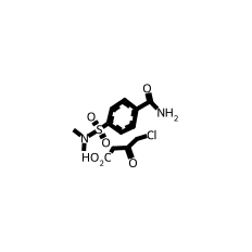 CN(C)S(=O)(=O)c1ccc(C(N)=O)cc1.O=C(O)CC(=O)CCl